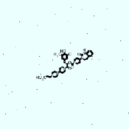 Cc1cc(C[C@@H](OC(=O)N2CCC(N3CCc4ccccc4NC3=O)CC2)C(=O)N2CCC(N3CCN(CCC(=O)O)CC3)CC2)cc(Cl)c1O